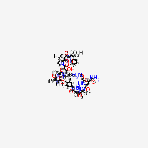 CC[C@H](C)[C@@H]([C@H](O)CC(=O)N1CCC[C@H]1[C@H](O)[C@@H](C)C(=O)N[C@@H](Cc1ccccc1)C(=O)O)N(C)C(=O)[C@@H](NC(=O)[C@H](C(C)C)N(C)C(=O)OCc1ccc(NC(=O)[C@H](C)NC(=O)[C@@H](NC(=O)C(CCC(N)=O)NC(=O)CON)C(C)C)cc1)C(C)C